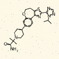 CC(C)n1ncnc1-c1nc2c(s1)CCOc1cc(C3CCN(C(C)(C)C(N)=O)CC3)ccc1-2